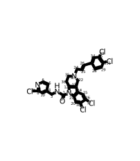 O=C(NCc1ccnc(Cl)c1)n1c2c(c3cc(Cl)c(Cl)cc31)CN(CC=Cc1ccc(Cl)c(Cl)c1)CC2